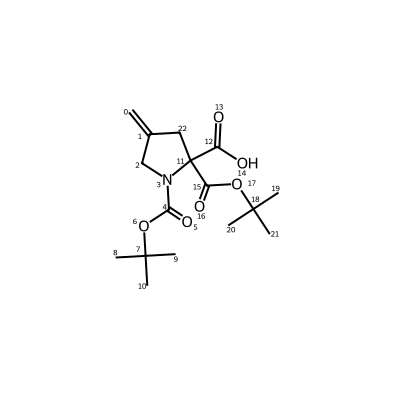 C=C1CN(C(=O)OC(C)(C)C)C(C(=O)O)(C(=O)OC(C)(C)C)C1